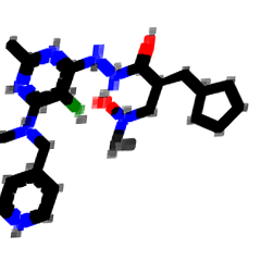 Cc1nc(NNC(=O)[C@@H](CC2CCCC2)CN(O)C=O)c(F)c(N(C)Cc2ccncc2)n1